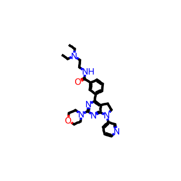 CCN(CC)CCNC(=O)c1cccc(-c2nc(N3CCOCC3)nc3c2CCN3c2cccnc2)c1